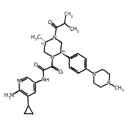 CC(C)C(=O)N1C[C@@H](c2ccc(N3CCN(C)CC3)cc2)N(C(=O)C(=O)Nc2cnc(N)c(C3CC3)c2)C[C@@H]1C